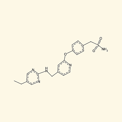 CCc1cnc(NCc2ccnc(Oc3ccc(CS(N)(=O)=O)cc3)c2)nc1